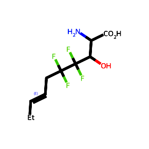 CC/C=C/CC(F)(F)C(F)(F)C(O)C(N)C(=O)O